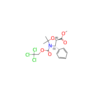 COC(=O)[C@@H]1OC(C)(C)N(C(=O)OCC(Cl)(Cl)Cl)[C@H]1c1ccccc1